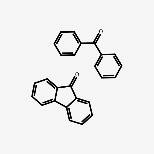 O=C(c1ccccc1)c1ccccc1.O=C1c2ccccc2-c2ccccc21